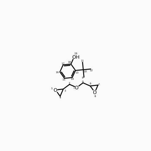 C(OCC1CO1)C1CO1.CC(C)(C)c1ccccc1O